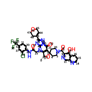 C[C@H]1OC2(CCN(C(=O)c3ncc4ncccc4c3O)CC2)c2c1n(CC(=O)Nc1ccc(C(F)(F)F)cc1Cl)c1nc(C3=CCOCC3)nn1c2=O